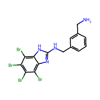 NCc1cccc(CNc2nc3c(Br)c(Br)c(Br)c(Br)c3[nH]2)c1